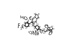 COc1cc(CN(CC2CCCC2)C(CC(=O)O)c2ccc(C(F)(F)F)cc2)ccc1OCCN1C(=O)CCC1=O